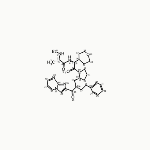 CCN[C@@H](C)C(=O)N[C@H](C(=O)N1CCC[C@H]1CN(CCc1ccccc1)C(=O)c1cn2cccnc2n1)C1CCOCC1